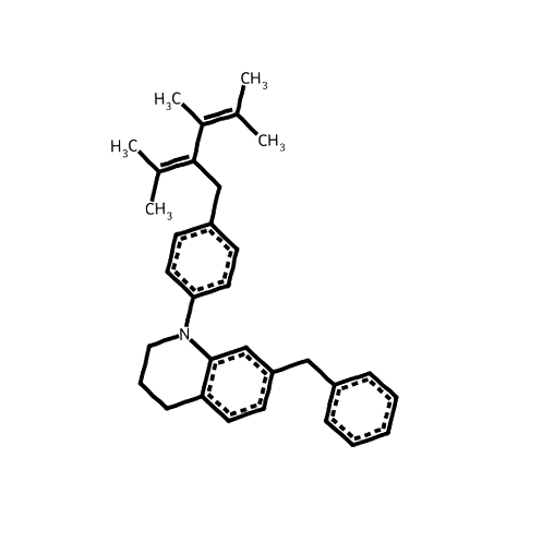 CC(C)=C(C)C(Cc1ccc(N2CCCc3ccc(Cc4ccccc4)cc32)cc1)=C(C)C